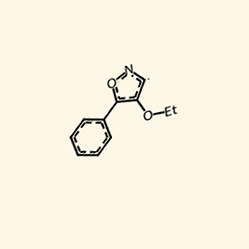 CCOc1[c]noc1-c1ccccc1